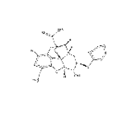 COc1cc(Br)c2c3c1O[C@H]1[C@@H](O)[C@H](Sc4ccccc4)C[C@H]4[C@@H](C2)N(C(=O)O)CC[C@@]341